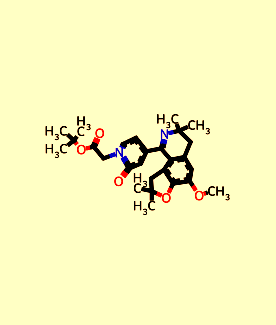 COc1cc2c(c3c1OC(C)(C)C3)C(c1ccn(CC(=O)OC(C)(C)C)c(=O)c1)=NC(C)(C)C2